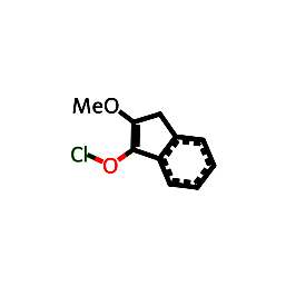 COC1=C(OCl)c2ccccc2C1